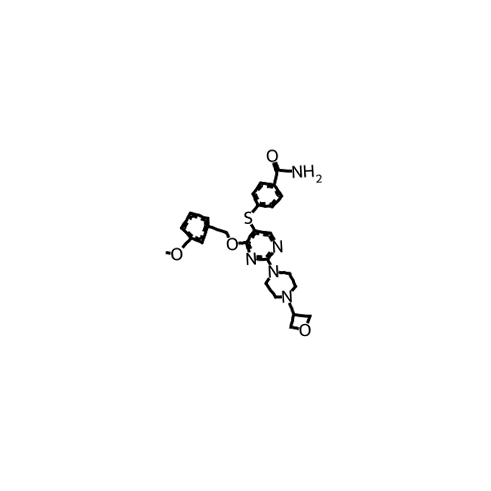 COc1cccc(COc2nc(N3CCN(C4COC4)CC3)ncc2Sc2ccc(C(N)=O)cc2)c1